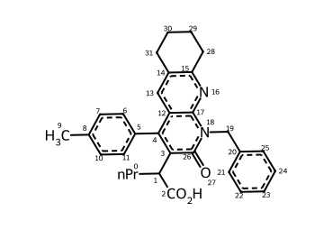 CCCC(C(=O)O)c1c(-c2ccc(C)cc2)c2cc3c(nc2n(Cc2ccccc2)c1=O)CCCC3